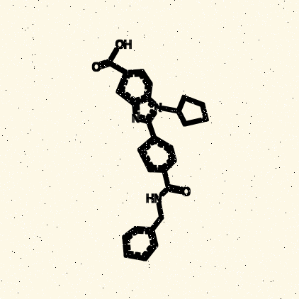 O=C(O)c1ccc2c(c1)nc(-c1ccc(C(=O)NCc3ccccc3)cc1)n2C1CCCC1